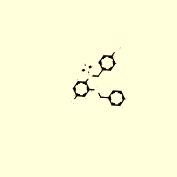 CS(=O)(=O)N(Cc1ccc(F)cc1)c1ccc([N+](=O)[O-])cc1OCc1ccccc1